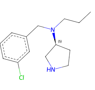 CCCN(Cc1cccc(Cl)c1)[C@H]1CCNC1